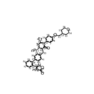 CCCc1nc(CC)n(-c2ccc(OCC3CCOCC3)cc2)c(=O)c1Cc1ccc(-c2ccccc2-c2noc(=O)[nH]2)cc1